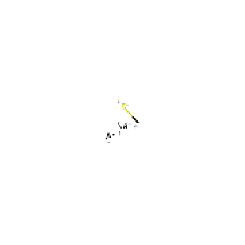 C[S-].[Ar].[Na+]